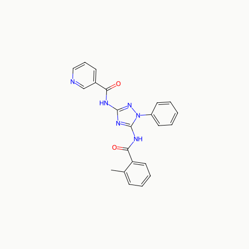 Cc1ccccc1C(=O)Nc1nc(NC(=O)c2cccnc2)nn1-c1ccccc1